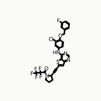 O=C(N1CCCC1C#Cc1cc2ncnc(Nc3ccc(OCc4cccc(F)c4)c(Cl)c3)c2s1)C(F)(F)C(F)(F)F